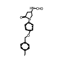 O=CNC1CC(=O)N(c2ccc(OCc3ccc(F)cc3)cc2)C1